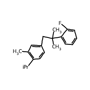 Cc1cc(CC(C)(C)c2ccccc2F)ccc1C(C)C